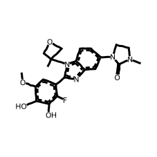 COc1cc(-c2nc3cc(N4CCN(C)C4=O)ccc3n2C2(C)COC2)c(F)c(O)c1O